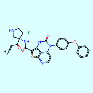 C=CC(=O)[C@@]1(NC(=O)c2sc3nccc4c3c2NC(=O)N4c2ccc(Oc3ccccc3)cc2)CNC[C@@H]1F